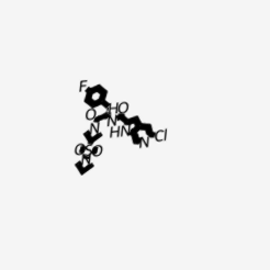 O=C(N[C@@H](Cc1ccc(F)cc1)C(=O)N1CC(S(=O)(=O)N2CCC2)C1)c1cc2cc(Cl)ncc2[nH]1